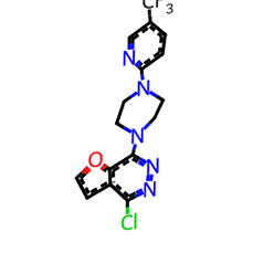 FC(F)(F)c1ccc(N2CCN(c3nnc(Cl)c4ccoc34)CC2)nc1